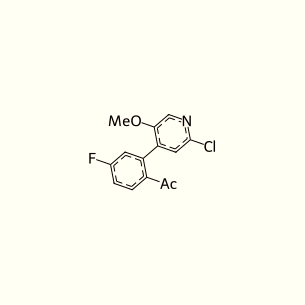 COc1cnc(Cl)cc1-c1cc(F)ccc1C(C)=O